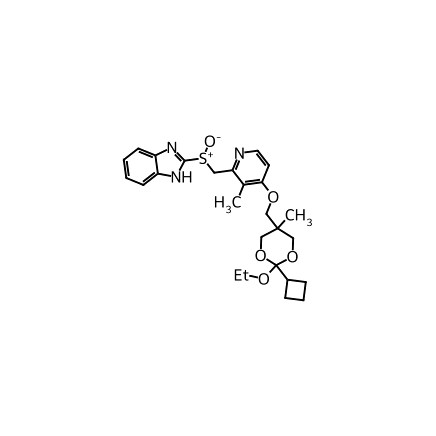 CCOC1(C2CCC2)OCC(C)(COc2ccnc(C[S+]([O-])c3nc4ccccc4[nH]3)c2C)CO1